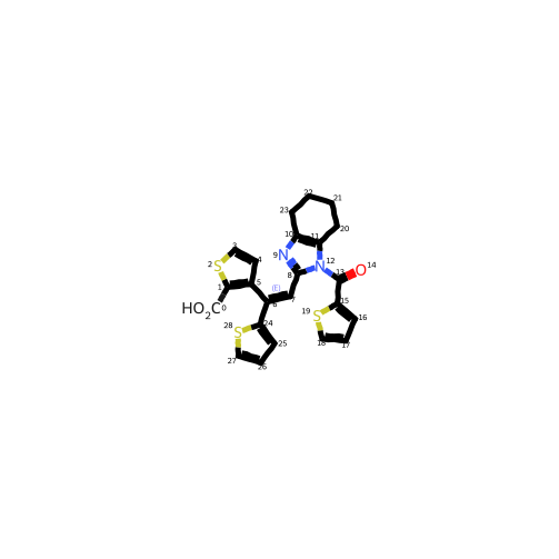 O=C(O)c1sccc1/C(=C\c1nc2c(n1C(=O)c1cccs1)CCCC2)c1cccs1